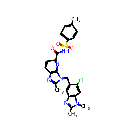 Cc1ccc(S(=O)(=O)NC(=O)c2ccc3nc(C)n(Cc4cc5nc(C)n(C)c5cc4Cl)c3n2)cc1